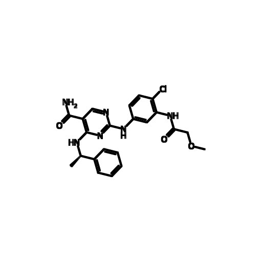 COCC(=O)Nc1cc(Nc2ncc(C(N)=O)c(N[C@H](C)c3ccccc3)n2)ccc1Cl